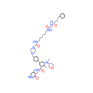 CCN(c1cc(-c2ccc(CN3CCN(CC(=O)NCCCCCCNC(=O)CNC(=O)CCCc4ccccc4)CC3)cc2)cc(C(=O)NCc2c(C)cc(C)[nH]c2=O)c1C)C1CCOCC1